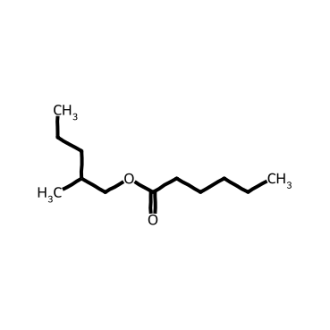 CCCCCC(=O)OCC(C)CCC